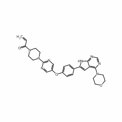 C=CC(=O)N1CCN(c2ncc(Oc3ccc(-c4cc5c(N6CCOCC6)ncnc5[nH]4)cc3)cn2)CC1